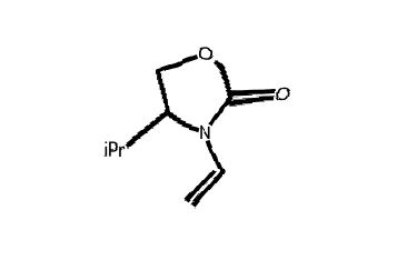 C=CN1C(=O)OCC1C(C)C